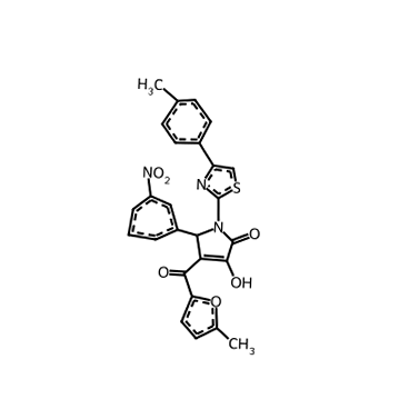 Cc1ccc(-c2csc(N3C(=O)C(O)=C(C(=O)c4ccc(C)o4)C3c3cccc([N+](=O)[O-])c3)n2)cc1